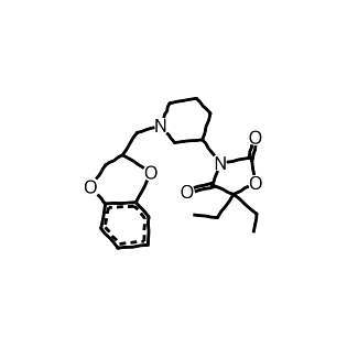 CCC1(CC)OC(=O)N(C2CCCN(CC3COc4ccccc4O3)C2)C1=O